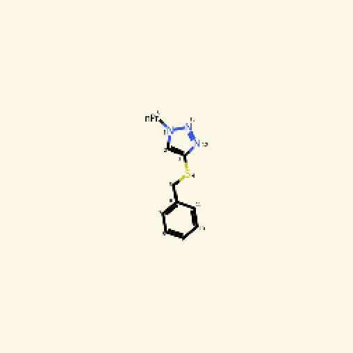 CCCn1cc(SCc2ccccc2)nn1